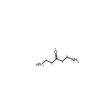 CCCCCC(=O)CCN